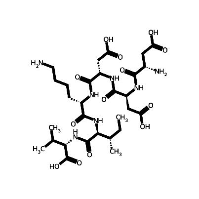 CC[C@H](C)[C@H](NC(=O)[C@H](CCCCN)NC(=O)[C@H](CC(=O)O)NC(=O)[C@H](CC(=O)O)NC(=O)[C@@H](N)CC(=O)O)C(=O)N[C@H](C(=O)O)C(C)C